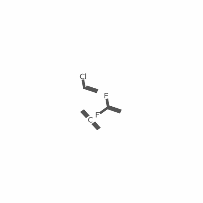 C=C(F)F.C=C=C.C=CCl